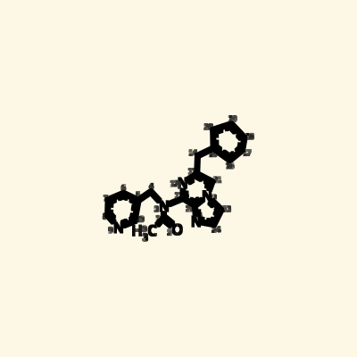 CC(=O)N(Cc1cccnc1)c1nc(Cc2ccccc2)cn2ccnc12